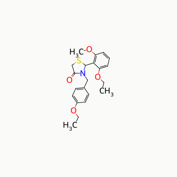 CCOc1ccc(CN2C(=O)CSC2c2c(OC)cccc2OCC)cc1